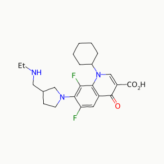 CCNCC1CCN(c2c(F)cc3c(=O)c(C(=O)O)cn(C4CCCCC4)c3c2F)C1